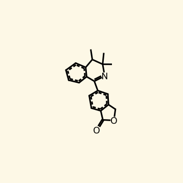 CC1c2ccccc2C(c2ccc3c(c2)COC3=O)=NC1(C)C